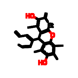 C=C/C=C(\C=C/C)C1C(/C(C)=C(/O)C(=C)C)=C(CC)Oc2c(C)c(C)c(O)c(C)c21